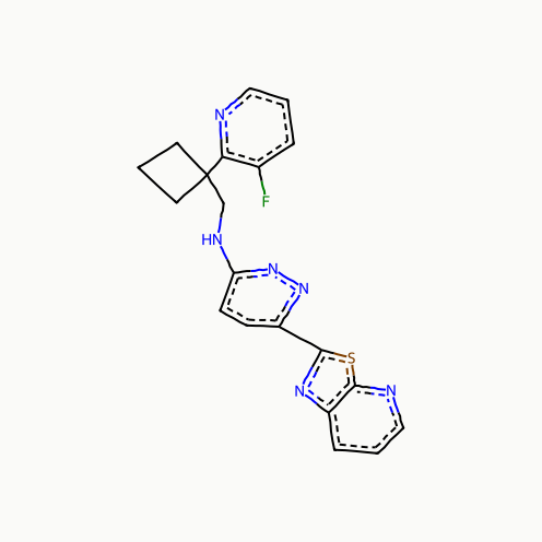 Fc1cccnc1C1(CNc2ccc(-c3nc4cccnc4s3)nn2)CCC1